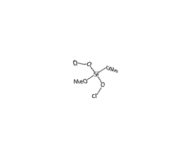 CO[Si](OC)(OCl)OCl